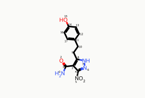 NC(=O)c1c([N+](=O)[O-])n[nH]c1CCc1ccc(O)cc1